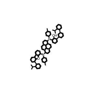 Cc1ccc(N(c2cccc(-c3cccc(-c4ccccc4C(C)C)c3)c2O)c2ccc3ccc4c(N(c5ccc(C)cc5)c5cccc6c5oc5c(-c7ccccc7C(C)C)cccc56)ccc5ccc2c3c54)cc1